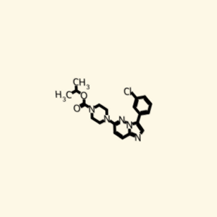 CC(C)OC(=O)N1CCN(c2ccc3ncc(-c4cccc(Cl)c4)n3n2)CC1